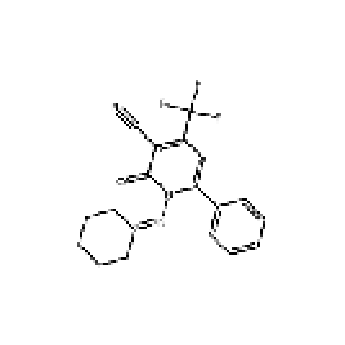 N#Cc1c(C(F)(F)F)cc(-c2ccccc2)n(N=C2CCCCC2)c1=O